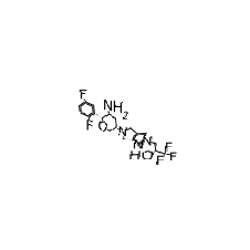 N[C@H]1C[C@@H](N2Cc3cn(C[C@@H](O)C(F)(F)F)nc3C2)CO[C@@H]1c1cc(F)ccc1F